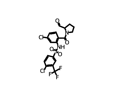 O=CC1CCCN1C(=O)c1ccc(Cl)cc1NS(=O)(=O)c1ccc(Cl)c(C(F)(F)F)c1